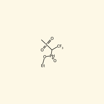 CCO[PH](=O)C(C(F)(F)F)S(C)(=O)=O